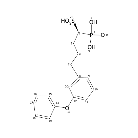 O=P(O)(O)[C@@H](CCCc1cccc(Oc2ccccc2)c1)S(=O)(=O)O